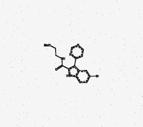 COCCNC(=O)c1[nH]c2ccc(Br)cc2c1-c1ccncn1